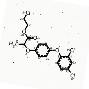 CC(Oc1ccc(Oc2ccc(Cl)cc2Cl)cc1)C(=O)OCCCl